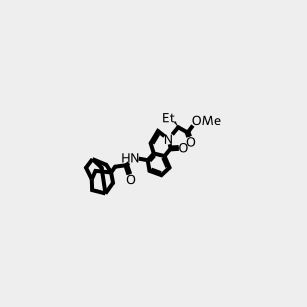 CC[C@H](C(=O)OC)n1ccc2c(NC(=O)CC34CC5CC(CC(C5)C3)C4)cccc2c1=O